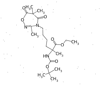 CCOC(=O)C(C)(CCCCN1C(=O)C(C)(C)C(=O)ON=C1C)NC(=O)OC(C)(C)C